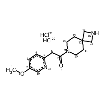 COc1ccc(CC(=O)N2CCC3(CC2)CNC3)nc1.Cl.Cl